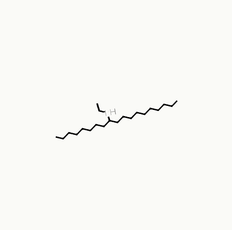 CCCCCCCCCCC(CCCCCCCC)PCC